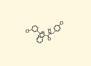 O=C(NCc1ccc(Cl)cc1)c1nc(-c2cccc(Cl)c2)n2ccccc12